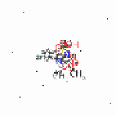 CCCCOc1c(C(=O)OCC)c(=O)n2c3c(c(Cc4ccc(F)cc4)cnc13)[S+]([O-])C(C(=O)O)C2